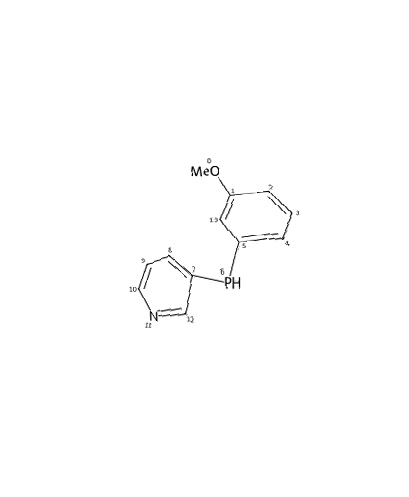 COc1cccc(Pc2cccnc2)c1